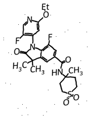 CCOc1cc(N2C(=O)C(C)(C)c3cc(C(=O)NC4(C)CCS(=O)(=O)CC4)cc(F)c32)c(F)cn1